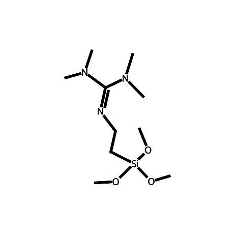 CO[Si](CCN=C(N(C)C)N(C)C)(OC)OC